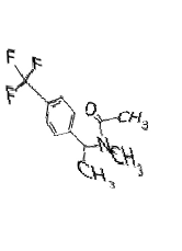 CC(=O)N(C)C(C)c1ccc(C(F)(F)F)cc1